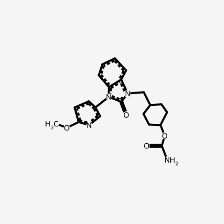 COc1ccc(-n2c(=O)n(CC3CCC(OC(N)=O)CC3)c3ccccc32)cn1